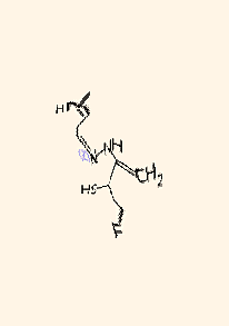 C=C(N/N=C\C=N)C(S)CF